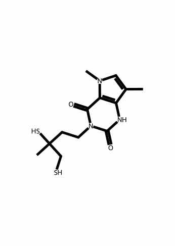 Cc1cn(C)c2c(=O)n(CCC(C)(S)CS)c(=O)[nH]c12